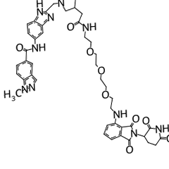 Cn1ncc2cc(C(=O)Nc3ccc4[nH]c(CN5CCC(CC(=O)NCCOCCOCCOCCNc6cccc7c6C(=O)N(C6CCC(=O)NC6=O)C7=O)C5)nc4c3)ccc21